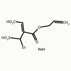 C=CCOC(=O)C(=CC(=O)O)C(CC)S(=O)(=O)O.[NaH]